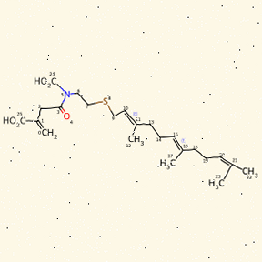 C=C(CC(=O)N(CCSC/C=C(\C)CC/C=C(\C)CCC=C(C)C)C(=O)O)C(=O)O